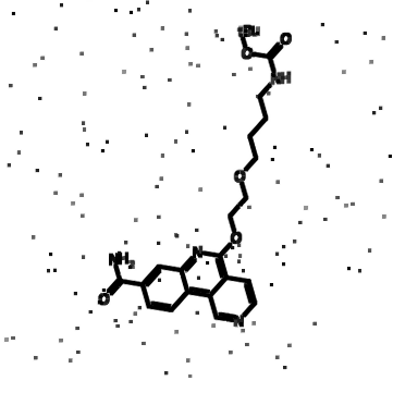 CC(C)(C)OC(=O)NCCCCOCCOc1nc2cc(C(N)=O)ccc2c2cnccc12